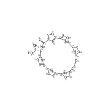 CC(C)[C@@H]1NC(=O)c2coc(n2)-c2coc(n2)-c2coc(n2)CCCc2coc(n2)-c2coc(n2)-c2coc1n2